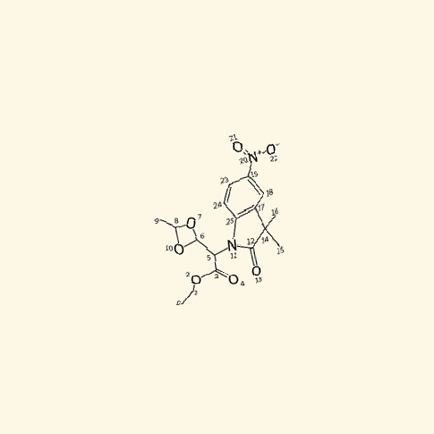 CCOC(=O)C(C1OC(C)O1)N1C(=O)C(C)(C)c2cc([N+](=O)[O-])ccc21